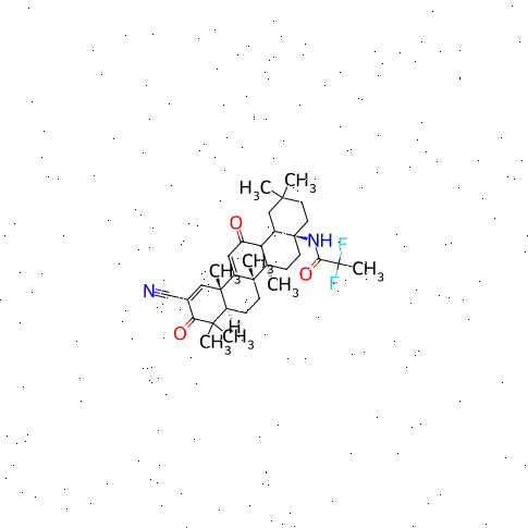 CC1(C)CC[C@]2(NC(=O)C(C)(F)F)CC[C@]3(C)C(C(=O)C=C4[C@@]5(C)C=C(C#N)C(=O)C(C)(C)[C@@H]5CC[C@]43C)C2C1